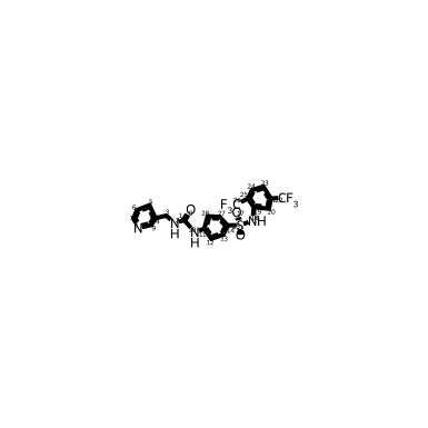 O=C(NCc1cccnc1)Nc1ccc(S(=O)(=O)Nc2cc(C(F)(F)F)ccc2C(F)(F)F)cc1